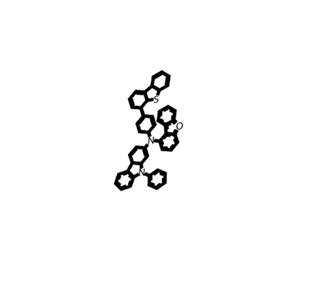 C1=CC2SC3C(=CC=CC3C3=CCC(N(C4=CC5C(C=C4)c4ccccc4N5c4ccccc4)c4cccc5oc6ccccc6c45)C=C3)C2C=C1